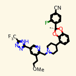 COCCc1cc(-c2nnc(C(F)(F)F)[nH]2)cnc1CN1CCC(c2cccc3c2O[C@@](C)(c2ccc(C#N)cc2F)O3)CC1